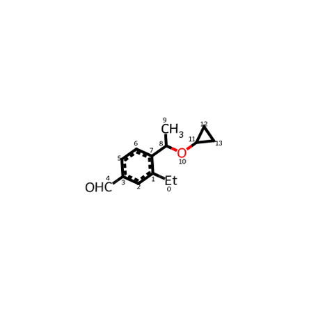 CCc1cc(C=O)ccc1C(C)OC1CC1